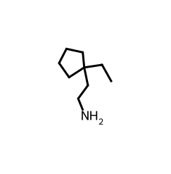 CCC1(CCN)CCCC1